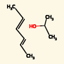 CC(C)O.CC=CC=CC